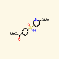 COC(=O)c1ccc(S(=N)(=O)c2ccc(OC)nc2)cc1